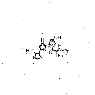 Cc1ncsc1-c1c[nH]c([C@H]2C[C@@H](O)CN2C(=O)[C@@H](NC(C)C)C(C)(C)C)n1